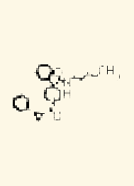 CCCCCNC(=O)C1(c2ccccc2)CCN(C(=O)[C@@H]2C[C@H]2c2ccccc2)CC1